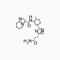 Cc1ccc(-c2noc(CCC(N)=O)n2)cc1NC(=O)c1cnc2ccccn12